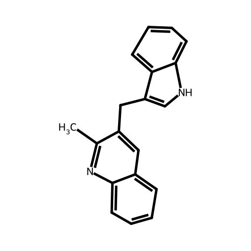 Cc1nc2ccccc2cc1Cc1c[nH]c2ccccc12